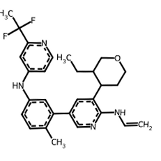 C=CNc1ncc(-c2cc(Nc3ccnc(C(C)(F)F)c3)ccc2C)cc1C1CCOCC1CC